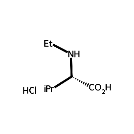 CCN[C@H](C(=O)O)C(C)C.Cl